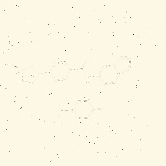 CN[C@@H]1CCN(c2ncc(C(=O)Nc3cn4cc(C)nc4c(C)n3)cn2)C1.COC(=O)c1cnc(Cl)nc1